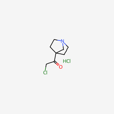 Cl.O=C(CCl)C12CCN(CC1)C2